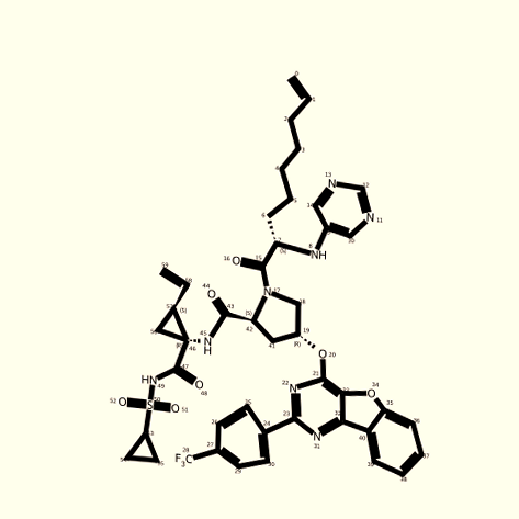 C=CCCCCC[C@H](Nc1cncnc1)C(=O)N1C[C@H](Oc2nc(-c3ccc(C(F)(F)F)cc3)nc3c2oc2ccccc23)C[C@H]1C(=O)N[C@]1(C(=O)NS(=O)(=O)C2CC2)C[C@H]1C=C